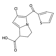 O=C(c1cccs1)c1c(Cl)cc2n1CCC2C(=O)O